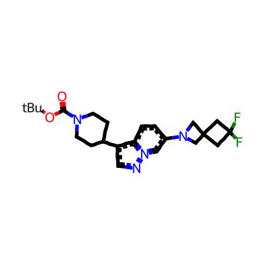 CC(C)(C)OC(=O)N1CCC(c2cnn3cc(N4CC5(C4)CC(F)(F)C5)ccc23)CC1